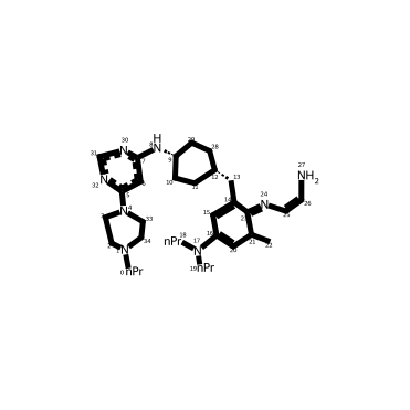 CCCN1CCN(c2cc(N[C@H]3CC[C@@H](CC4=CC(N(CCC)CCC)=CC(C)/C4=N\C=C/N)CC3)ncn2)CC1